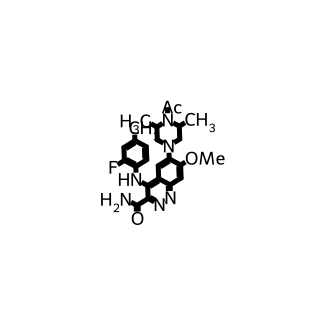 COc1cc2nnc(C(N)=O)c(Nc3ccc(C)cc3F)c2cc1N1CC(C)N(C(C)=O)C(C)C1